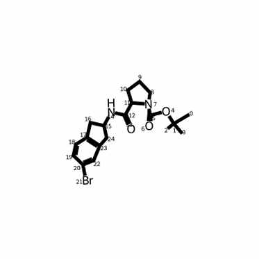 CC(C)(C)OC(=O)N1CCCC1C(=O)NC1Cc2ccc(Br)cc2C1